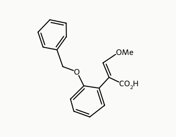 COC=C(C(=O)O)c1ccccc1OCc1ccccc1